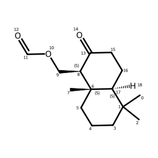 CC1(C)CCC[C@]2(C)[C@@H](COC=O)C(=O)CC[C@@H]12